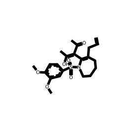 C=CCC1=C(C(C(C)=O)=C(C)O)N(S(=O)(=O)c2ccc(OC)c(OC)c2)CCCC1